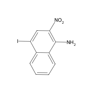 Nc1c([N+](=O)[O-])cc(I)c2ccccc12